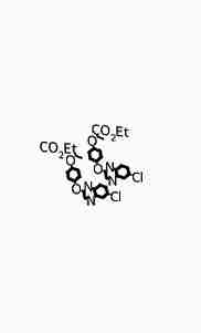 CCOC(=O)C(C)Oc1ccc(Oc2cnc3cc(Cl)ccc3n2)cc1.CCOC(=O)C(C)Oc1ccc(Oc2cnc3cc(Cl)ccc3n2)cc1